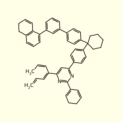 C=C/C=C(\C=C/C)c1cc(-c2ccc(C3(c4ccc(-c5cccc(-c6cccc7c6C=CCC7)c5)cc4)CCCCC3)cc2)nc(C2=CCCC=C2)n1